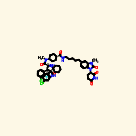 Cn1c(=O)n(C2CCC(=O)NC2=O)c2ccc(CCCCCNC(=O)[C@H]3CC[C@H](N(C)C(=O)[C@@H]4NC5(CCCCC5)[C@@]5(C(=O)Nc6cc(Cl)ccc65)[C@H]4c4cccc(Cl)c4F)CC3)cc21